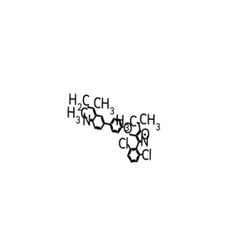 C=C/C(C)=C1/C=C(c2ccc(OCc3c(-c4c(Cl)cccc4Cl)noc3C(C)C)cc2)C=C/C1=N/C